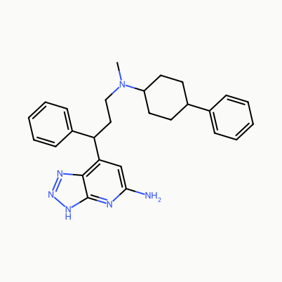 CN(CCC(c1ccccc1)c1cc(N)nc2[nH]nnc12)C1CCC(c2ccccc2)CC1